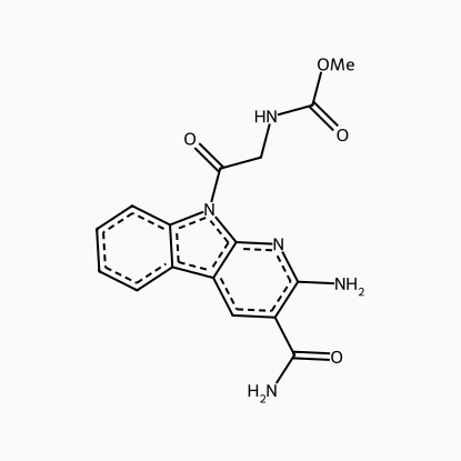 COC(=O)NCC(=O)n1c2ccccc2c2cc(C(N)=O)c(N)nc21